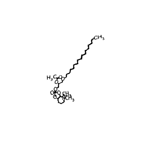 CCCCCCCCCCCCCCCCCOCC(COP1(=O)OC2CCC[N+](C)(C)C2O1)OC(C)=O